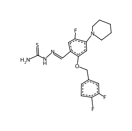 NC(=S)NN=Cc1cc(F)c(N2CCCCC2)cc1OCc1ccc(F)c(F)c1